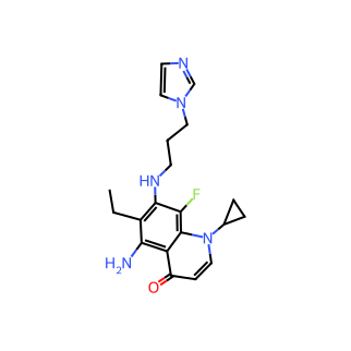 CCc1c(NCCCn2ccnc2)c(F)c2c(c1N)c(=O)ccn2C1CC1